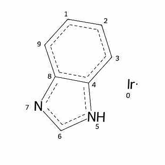 [Ir].c1ccc2[nH]cnc2c1